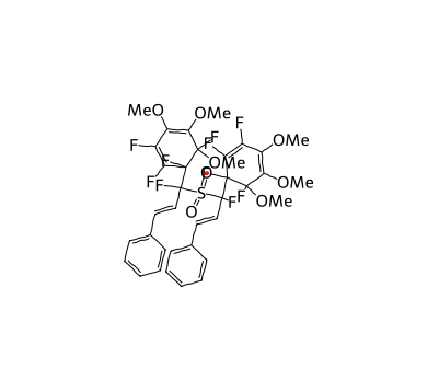 COC1=C(OC)C(F)(OC)C(F)(C(F)(C=Cc2ccccc2)S(=O)(=O)C(F)(C=Cc2ccccc2)C2(F)C(F)=C(F)C(OC)=C(OC)C2(F)OC)C(F)=C1F